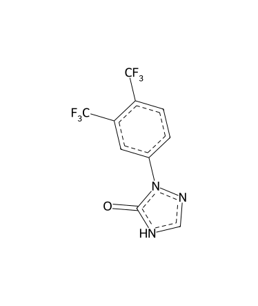 O=c1[nH]cnn1-c1ccc(C(F)(F)F)c(C(F)(F)F)c1